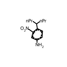 CCCC(CCC)c1ccc(N)cc1[N+](=O)[O-]